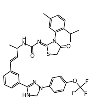 Cc1ccc(C(C)C)c(N2C(=O)CS/C2=N\C(=O)NC(C)/C=C/c2cccc(C3=NN(c4ccc(OC(F)(F)F)cc4)CN3)c2)c1